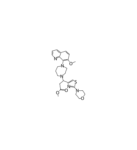 COC(=O)CC(c1csc(N2CCOCC2)n1)N1CCCN(c2c(OC)ccc3cccnc23)CC1